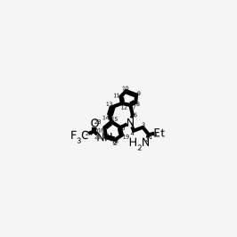 CCC(N)CCN1Cc2ccccc2C#Cc2ccccc21.NC(=O)C(F)(F)F